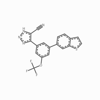 N#Cc1[nH]nnc1-c1cc(OC(F)(F)F)cc(-c2ccc3ccsc3c2)c1